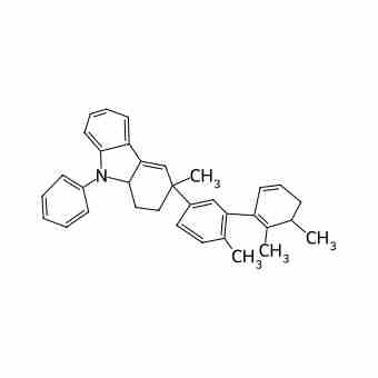 CC1=C(c2cc(C3(C)C=C4c5ccccc5N(c5ccccc5)C4CC3)ccc2C)C=CCC1C